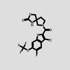 O=C1NC2(CCN(C(=O)c3sc4cc(OC(F)(F)F)c(F)cc4c3Cl)C2)CO1